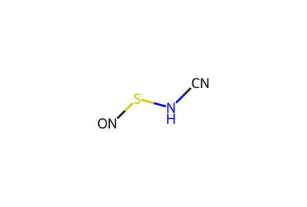 N#CNSN=O